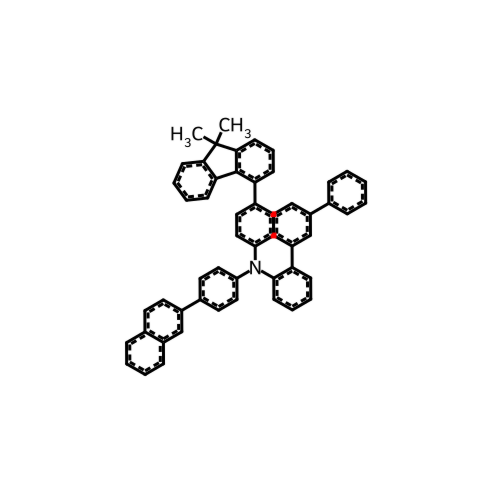 CC1(C)c2ccccc2-c2c(-c3ccc(N(c4ccc(-c5ccc6ccccc6c5)cc4)c4ccccc4-c4cccc(-c5ccccc5)c4)cc3)cccc21